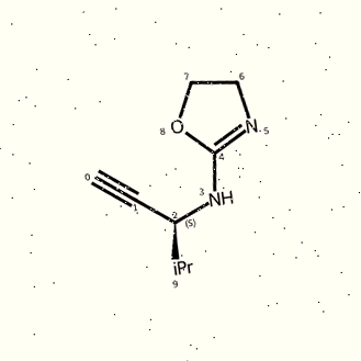 C#C[C@@H](NC1=NCCO1)C(C)C